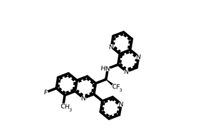 Cc1c(F)ccc2cc([C@@H](Nc3ncnc4cccnc34)C(F)(F)F)c(-c3cccnc3)nc12